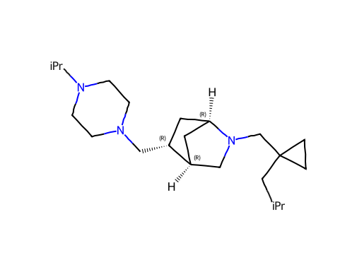 CC(C)CC1(CN2C[C@@H]3C[C@H]2C[C@H]3CN2CCN(C(C)C)CC2)CC1